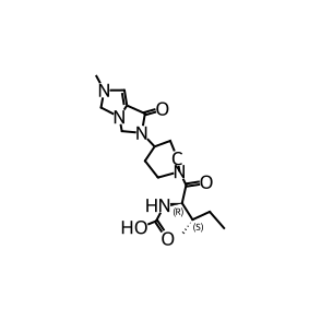 CC[C@H](C)[C@@H](NC(=O)O)C(=O)N1CCC(N2CN3CN(C)C=C3C2=O)CC1